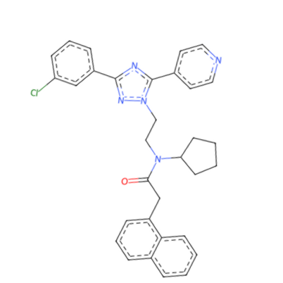 O=C(Cc1cccc2ccccc12)N(CCn1nc(-c2cccc(Cl)c2)nc1-c1ccncc1)C1CCCC1